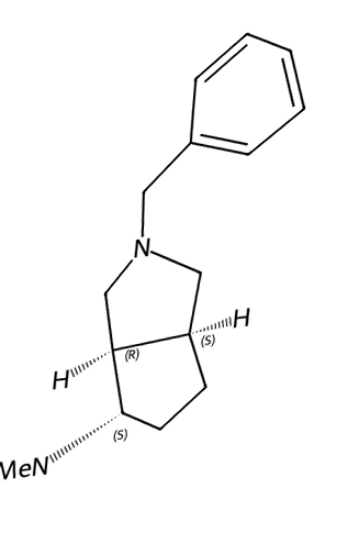 CN[C@H]1CC[C@@H]2CN(Cc3ccccc3)C[C@@H]21